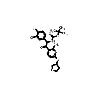 Cc1nc(OC2CCOC2)ccc1C(=O)C(NC(=O)OC(C)(C)C)c1ccc(Cl)c(Cl)c1